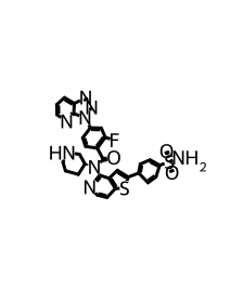 NS(=O)(=O)c1ccc(-c2cc3c(N(C(=O)c4ccc(-n5nnc6cccnc65)cc4F)[C@@H]4CCCNC4)nccc3s2)cc1